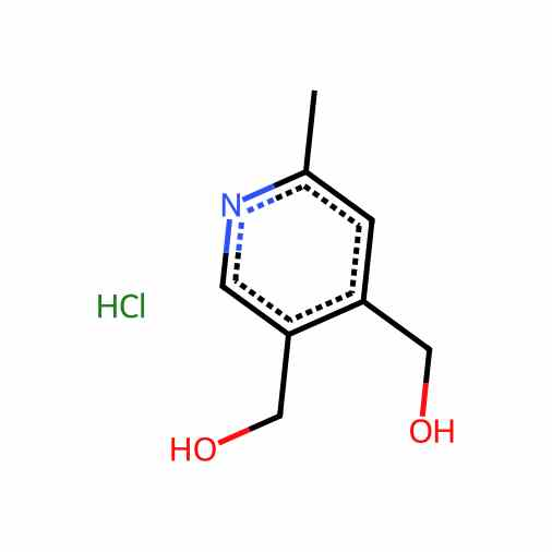 Cc1cc(CO)c(CO)cn1.Cl